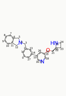 c1cc(CN2Cc3ccccc3C2)cc(-c2cncc(OC[C@@H]3CCN3)c2)c1